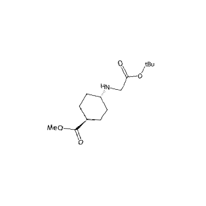 COC(=O)[C@H]1CC[C@H](NCC(=O)OC(C)(C)C)CC1